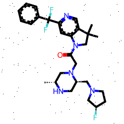 C[C@@H]1CN(CC(=O)N2CC(C)(C)c3cnc(C(F)(F)c4ccccc4)cc32)[C@@H](CN2CC[C@@H](F)C2)CN1